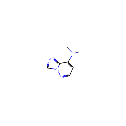 CN(C)c1ccnn2cnnc12